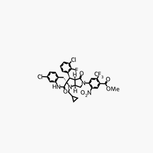 COC(=O)c1cc([N+](=O)[O-])c(N2C[C@H]3[C@@H](C2=O)[C@H](c2cccc(Cl)c2F)[C@@]2(Cc4ccc(Cl)cc4NC2=O)N3CC2CC2)cc1C(F)(F)F